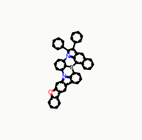 c1ccc(-c2c(-c3ccccc3)n3c4c(c5ccccc5cc24)B2c4c-3cccc4-n3c4cc5oc6ccccc6c5cc4c4cccc2c43)cc1